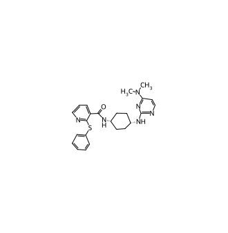 CN(C)c1ccnc(N[C@H]2CC[C@@H](NC(=O)c3cccnc3Sc3ccccc3)CC2)n1